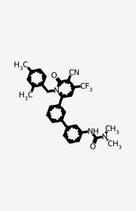 Cc1ccc(Cn2c(-c3cccc(-c4cccc(NC(=O)N(C)C)c4)c3)cc(C(F)(F)F)c(C#N)c2=O)c(C)c1